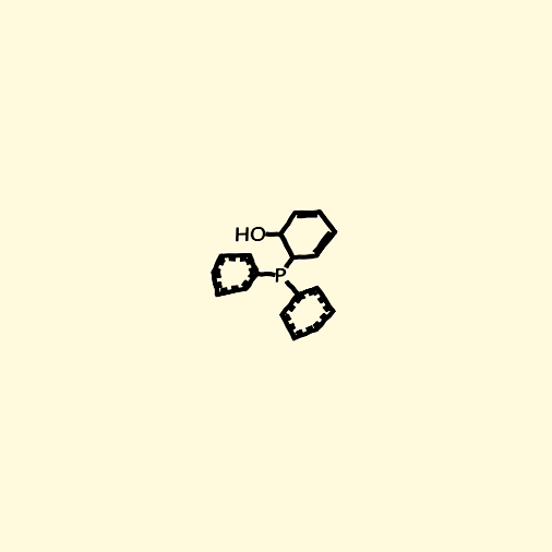 OC1C=CC=CC1P(c1ccccc1)c1ccccc1